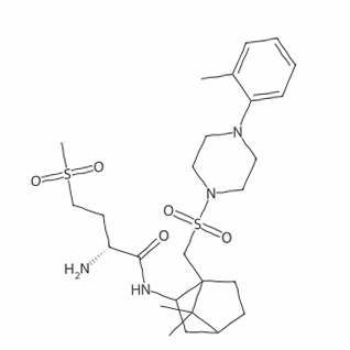 Cc1ccccc1N1CCN(S(=O)(=O)CC23CCC(CC2NC(=O)[C@H](N)CCS(C)(=O)=O)C3(C)C)CC1